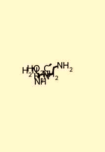 CC(=O)O.N=C(N)N.NCCN